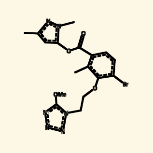 COc1nnnn1CCOc1c(Br)ccc(C(=O)Oc2cc(C)nn2C)c1C